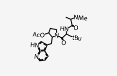 CNC(C)C(=O)NC(C(=O)N1CCC(OC(C)=O)C1Cc1c[nH]c2ncccc12)C(C)(C)C